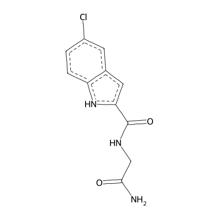 NC(=O)CNC(=O)c1cc2cc(Cl)ccc2[nH]1